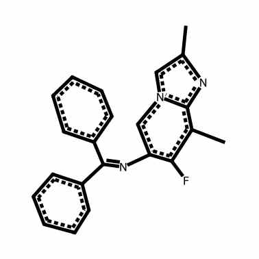 Cc1cn2cc(N=C(c3ccccc3)c3ccccc3)c(F)c(C)c2n1